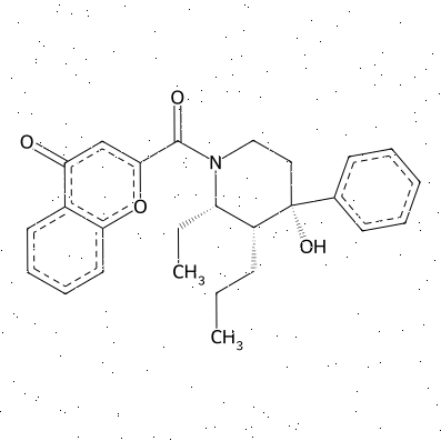 CCC[C@@H]1[C@H](CC)N(C(=O)c2cc(=O)c3ccccc3o2)CC[C@@]1(O)c1ccccc1